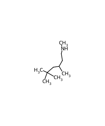 CNCCC(C)CC(C)(C)C